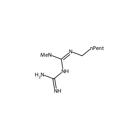 CCCCCCN=C(NC)NC(=N)N